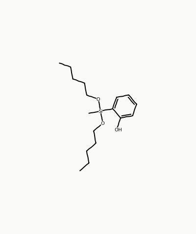 CCCCCO[Si](C)(OCCCCC)c1ccccc1O